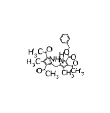 CC(=O)c1[nH]c(Cc2[nH]c(C(=O)OCc3ccccc3)c(C(C)=O)c2C)c(C(C)=O)c1C